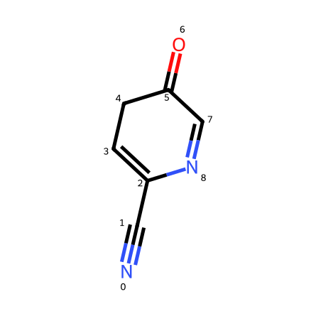 N#CC1=CCC(=O)C=N1